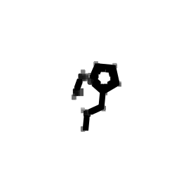 COCc1ccco1.SS